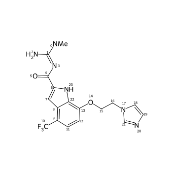 CNC(N)=NC(=O)c1cc2c(C(F)(F)F)ccc(OCCn3ccnc3)c2[nH]1